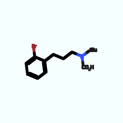 CC(C)(C)N(CCCc1ccccc1Br)C(=O)O